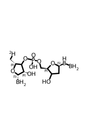 [2H]C[C@H]1O[C@@H](B)[C@@H](O)C1OP(=O)(O)OC[C@H]1O[C@@H](BB)CC1O